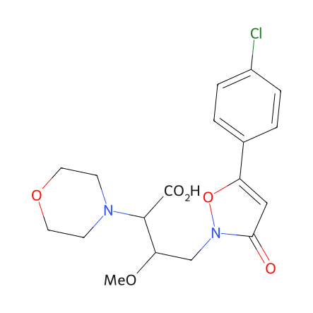 COC(Cn1oc(-c2ccc(Cl)cc2)cc1=O)C(C(=O)O)N1CCOCC1